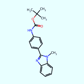 Cn1c(-c2ccc(NC(=O)OC(C)(C)C)cc2)nc2ccccc21